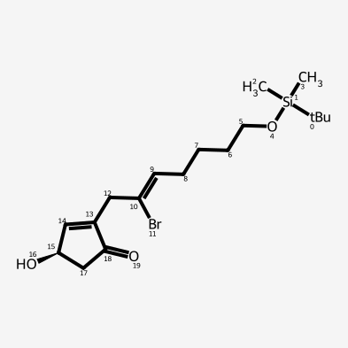 CC(C)(C)[Si](C)(C)OCCCC/C=C(\Br)CC1=C[C@H](O)CC1=O